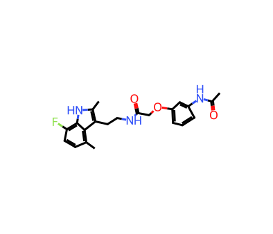 CC(=O)Nc1cccc(OCC(=O)NCCc2c(C)[nH]c3c(F)ccc(C)c23)c1